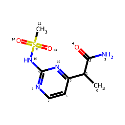 CC(C(N)=O)c1ccnc(NS(C)(=O)=O)n1